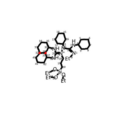 CCN=C(NC1CCCCC1)N(C1CCCCC1)[N+](CCC[Si](OCC)(OCC)OCC)=C(NC1CCCCC1)NC1CCCCC1